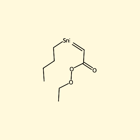 C=CC(=O)OOCC.CCC[CH2][Sn]